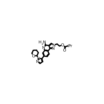 CC(C)C(=O)OCCn1cc2c(N)nc3cc(-c4ccnn4C4CCCCO4)ccc3c2n1